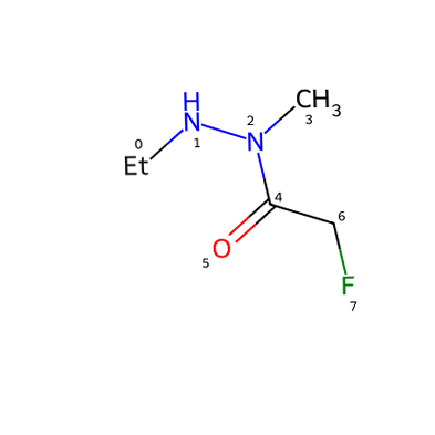 CCNN(C)C(=O)CF